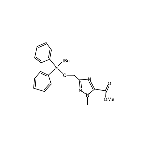 COC(=O)c1nc(CO[Si](c2ccccc2)(c2ccccc2)C(C)(C)C)nn1C